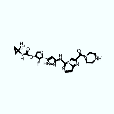 CC1(NC(=O)O[C@@H]2CO[C@H](c3cc(Nc4nccc5nc(C(=O)N6CCNCC6)cn45)n[nH]3)[C@H]2F)CC1